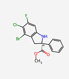 COC(=O)[C@]1(c2ccccc2)Cc2c(cc(F)c(Cl)c2Br)N1